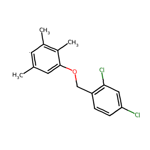 Cc1[c]c(C)c(C)c(OCc2ccc(Cl)cc2Cl)c1